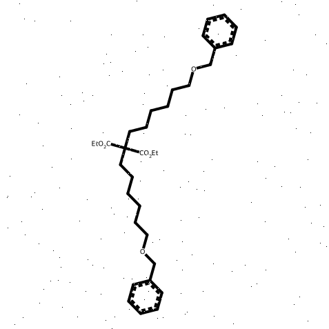 CCOC(=O)C(CCCCCCOCc1ccccc1)(CCCCCCOCc1ccccc1)C(=O)OCC